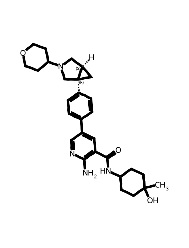 CC1(O)CCC(NC(=O)c2cc(-c3ccc([C@@]45C[C@@H]4CN(C4CCOCC4)C5)cc3)cnc2N)CC1